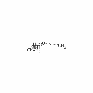 CCCCCCCCCCCOc1ccc2c(c1)CC[C@@H]1[C@@H]2CC[C@]2(C)C(=CCl)CC[C@@H]12